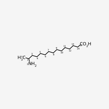 CC(N)CCCCCCCCCCCCC(=O)O